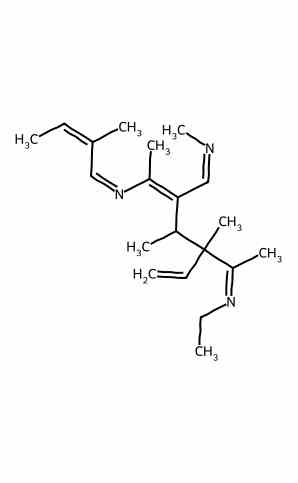 C=CC(C)(/C(C)=N\CC)C(C)C(/C=N\C)=C(C)\N=C/C(C)=C\C